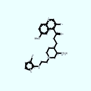 COc1ccc2ncc(F)c(C(=O)CCC3CCN(CCSc4sccc4F)CC3C(=O)O)c2c1